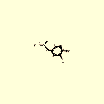 CCCN(C)Cc1ccc(Br)c(F)c1